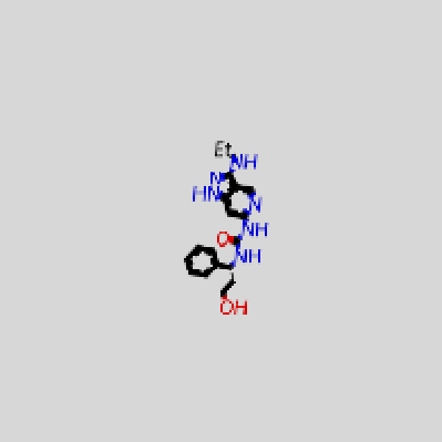 CCNc1n[nH]c2cc(NC(=O)N[C@H](CCO)c3ccccc3)ncc12